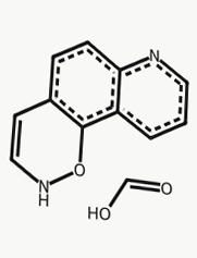 C1=Cc2ccc3ncccc3c2ON1.O=CO